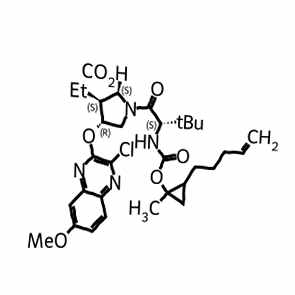 C=CCCCC1CC1(C)OC(=O)N[C@H](C(=O)N1C[C@H](Oc2nc3cc(OC)ccc3nc2Cl)[C@@H](CC)[C@H]1C(=O)O)C(C)(C)C